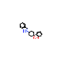 O[C@]1(c2ccccc2)CC[C@H](NCc2ccccc2)CC1